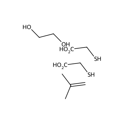 C=C(C)C.O=C(O)CS.O=C(O)CS.OCCO